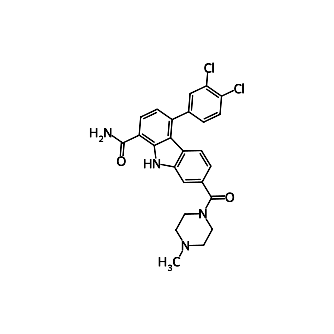 CN1CCN(C(=O)c2ccc3c(c2)[nH]c2c(C(N)=O)ccc(-c4ccc(Cl)c(Cl)c4)c23)CC1